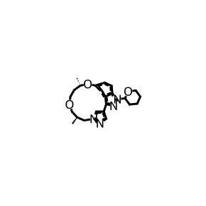 C[C@H]1COCC[C@H](C)Oc2ccc3c(c2)c(nn3C2CCCCO2)-c2cnn(c2)C1